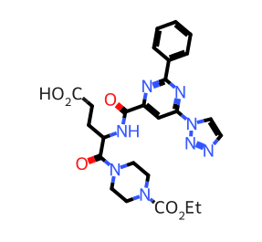 CCOC(=O)N1CCN(C(=O)C(CCC(=O)O)NC(=O)c2cc(-n3ccnn3)nc(-c3ccccc3)n2)CC1